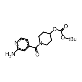 CC(C)(C)OC(=O)OC1CCN(C(=O)c2ccnc(N)c2)CC1